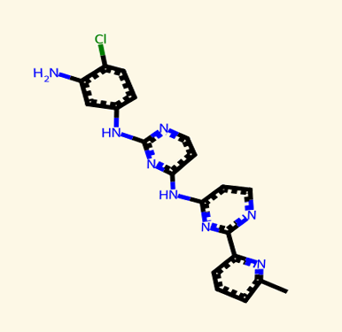 Cc1cccc(-c2nccc(Nc3ccnc(Nc4ccc(Cl)c(N)c4)n3)n2)n1